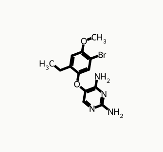 CCc1cc(OC)c(Br)cc1Oc1cnc(N)nc1N